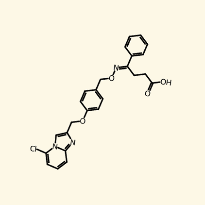 O=C(O)CC/C(=N\OCc1ccc(OCc2cn3c(Cl)cccc3n2)cc1)c1ccccc1